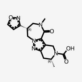 C[C@@H]1Cc2nn3c(c2CN1C(=O)O)C(=O)N(C)C[C@@H](c1ccon1)C3